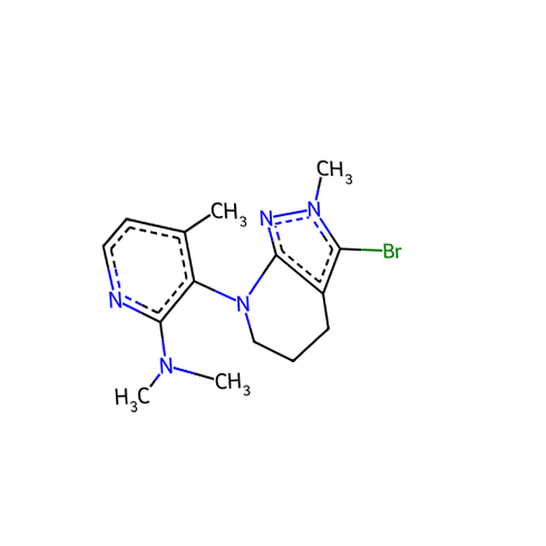 Cc1ccnc(N(C)C)c1N1CCCc2c1nn(C)c2Br